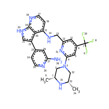 C[C@@H]1CN(c2cc(C(F)(F)F)cc(CNc3ccnc4[nH]cc(-c5ccnc(N)c5)c34)n2)C[C@H](C)N1